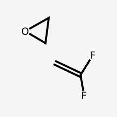 C1CO1.C=C(F)F